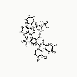 Cc1nc(NC(c2ccc(F)c(Cl)c2)c2nc(S(=O)(=O)Cl)c(CO[Si](c3ccccc3)(c3ccccc3)C(C)(C)C)n2COCC[Si](C)(C)C)ccc1F